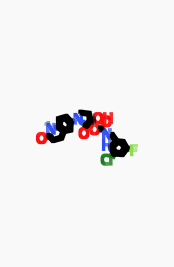 CN1C(=O)CCc2cc(N3CC[C@](O)(OC(=O)NCc4cc(F)cc(Cl)c4)C3=O)ccc21